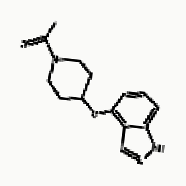 CC(=O)N1CCC(Oc2cccc3[nH]ncc23)CC1